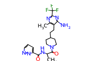 Cc1nc(C(F)(F)F)nc(N)c1CCC1CCN(C(=O)C(C)NC(=O)c2cccnn2)CC1